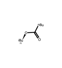 C[CH][C@H](C)OC(=O)CCCC